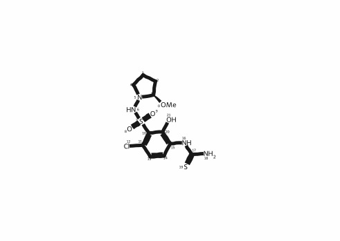 CO[C@@H]1CCCN1NS(=O)(=O)c1c(Cl)ccc(NC(N)=S)c1O